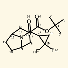 CC(C)(C)OC(=O)N1CC2CCC(C1)N2C(=O)C1CC1(F)F